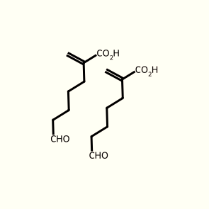 C=C(CCCCC=O)C(=O)O.C=C(CCCCC=O)C(=O)O